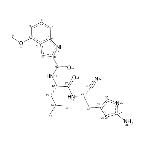 COc1cccc2[nH]c(C(=O)N[C@@H](CC(C)C)C(=O)N[C@H](C#N)Cc3cnc(N)s3)cc12